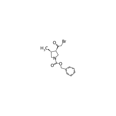 C[C@@H]1CN(C(=O)OCc2ccccc2)C[C@@H]1C(=O)CBr